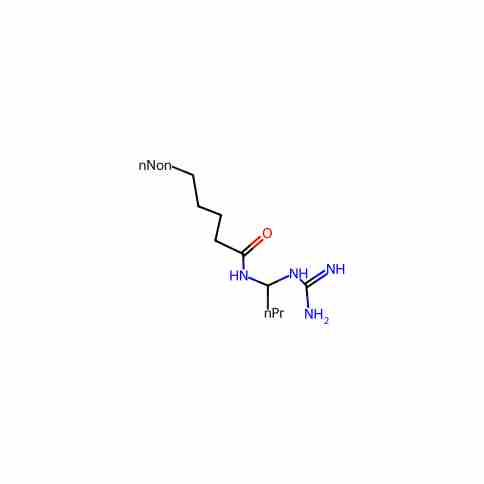 CCCCCCCCCCCCCC(=O)NC(CCC)NC(=N)N